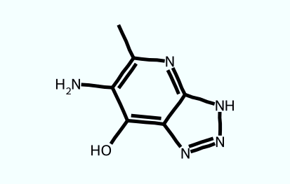 Cc1nc2[nH]nnc2c(O)c1N